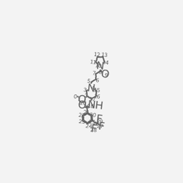 COC1CN(CCCC(=O)N2CCCC2)CCC1NC(=O)c1cccc(C(F)(F)F)c1